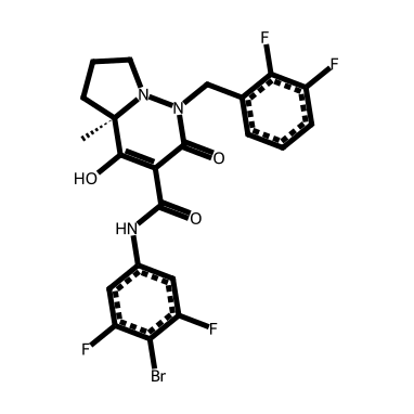 C[C@]12CCCN1N(Cc1cccc(F)c1F)C(=O)C(C(=O)Nc1cc(F)c(Br)c(F)c1)=C2O